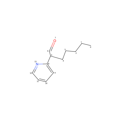 CCCCCC(C=O)c1ccccn1